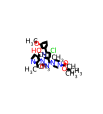 COc1cccc(-c2nc3c(cc2Cl)c(N2CCN(C(=O)OC(C)(C)C)CC2C)nc(=O)n3-c2c(C)ccnc2C(C)C)c1O